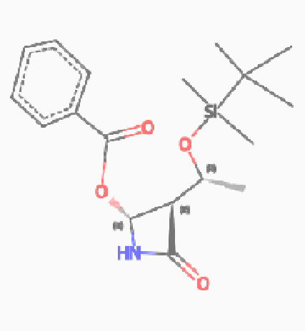 C[C@@H](O[Si](C)(C)C(C)(C)C)[C@H]1C(=O)N[C@@H]1OC(=O)c1ccccc1